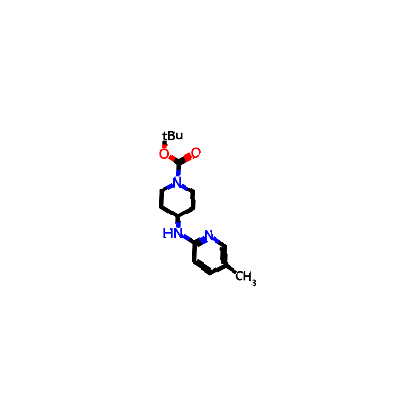 Cc1ccc(NC2CCN(C(=O)OC(C)(C)C)CC2)nc1